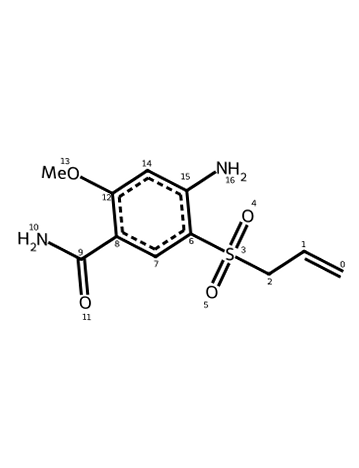 C=CCS(=O)(=O)c1cc(C(N)=O)c(OC)cc1N